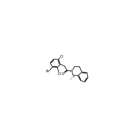 C[C@H]1c2ccccc2CCN1C(=O)Cc1c(Cl)ccc(Br)c1Cl